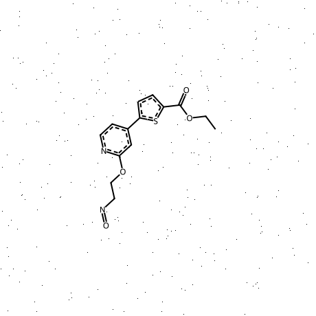 CCOC(=O)c1ccc(-c2ccnc(OCCN=O)c2)s1